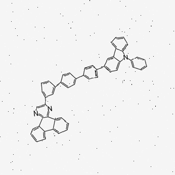 c1ccc(-n2c3ccccc3c3cc(-c4ccc(-c5ccc(-c6cccc(-c7cnc8c9ccccc9c9ccccc9c8n7)c6)cc5)cc4)ccc32)cc1